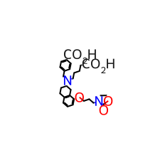 O=C(O)CCCCN(Cc1ccc(C(=O)O)cc1)C1CCc2cccc(OCCCN3CCOC3=O)c2C1